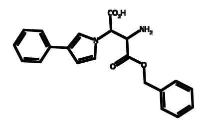 NC(C(=O)OCc1ccccc1)C(C(=O)O)n1ccc(-c2ccccc2)c1